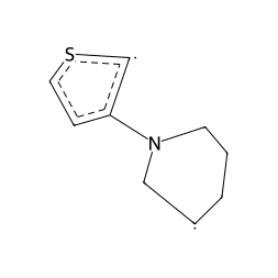 [c]1sccc1N1C[CH]CCC1